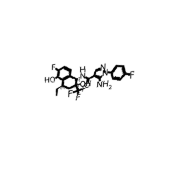 CC[C@@H]1C[C@@](O)(C(F)(F)F)[C@@H](NC(=O)c2cnn(-c3ccc(F)cc3)c2N)c2ccc(F)c(O)c21